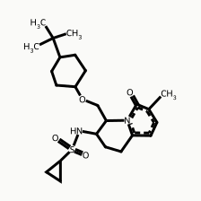 Cc1ccc2n(c1=O)C(COC1CCC(C(C)(C)C)CC1)C(NS(=O)(=O)C1CC1)CC2